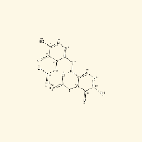 C=C(Cl)Cn1c(SSc2nnc(O)c(=O)n2CC(=C)Cl)nnc(O)c1=O